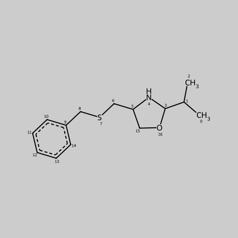 CC(C)C1NC(CSCc2ccccc2)CO1